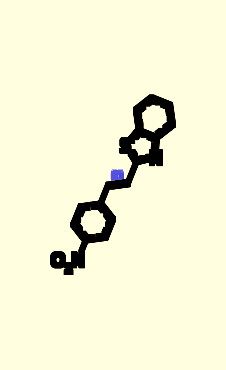 O=[N+]([O-])c1ccc(/C=C/c2nc3ccccc3s2)cc1